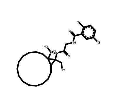 CC(C)CC1(NC(=O)CNC(=O)c2cc(Cl)ccc2Cl)C2CCCCCCCCCCCCCC21B(O)O